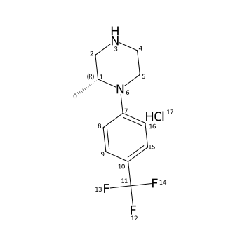 C[C@@H]1CNCCN1c1ccc(C(F)(F)F)cc1.Cl